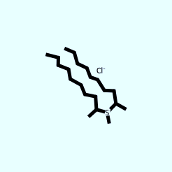 CCCCCCCCC(C)[S+](C)C(C)CCCCCCCC.[Cl-]